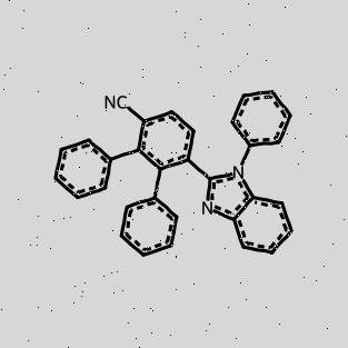 N#Cc1ccc(-c2nc3ccccc3n2-c2ccccc2)c(-c2ccccc2)c1-c1ccccc1